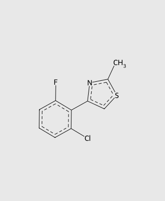 Cc1nc(-c2c(F)cccc2Cl)cs1